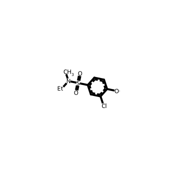 CCN(C)S(=O)(=O)c1ccc([O])c(Cl)c1